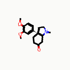 COc1ccc([C@@]23CCC(=O)CC2N(C)CC3)cc1OC